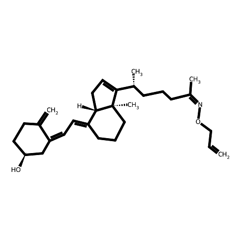 C=CCO/N=C(/C)CCC[C@@H](C)C1=CC[C@H]2/C(=C/C=C3/C[C@@H](O)CCC3=C)CCC[C@]12C